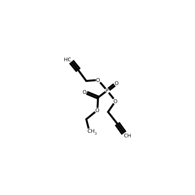 C#CCOP(=O)(OCC#C)C(=O)OCC